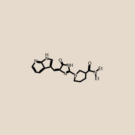 CCN(CC)C(=O)C1CCCN(C2=N/C(=C/c3c[nH]c4ncccc34)C(=O)N2)C1